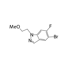 COCCn1ncc2cc(Br)c(F)cc21